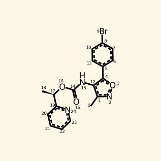 Cc1noc(-c2ccc(Br)cc2)c1NC(=O)O[C@H](C)c1ccccn1